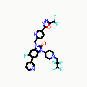 O=c1n(Cc2ccc(-c3nnc(C(F)F)o3)cn2)c2cc(F)c(-c3cccnc3)cc2n1C1CCN(CC(F)(F)C(F)F)CC1